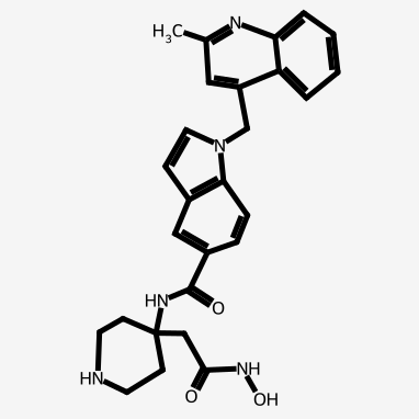 Cc1cc(Cn2ccc3cc(C(=O)NC4(CC(=O)NO)CCNCC4)ccc32)c2ccccc2n1